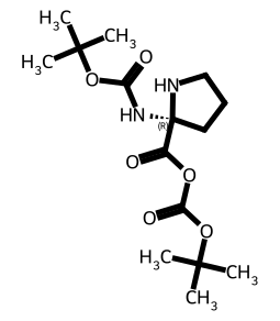 CC(C)(C)OC(=O)N[C@@]1(C(=O)OC(=O)OC(C)(C)C)CCCN1